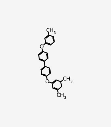 CC1=CC(Oc2ccc(-c3ccc(Oc4cccc(C)c4)cc3)cc2)=CC(C)C1